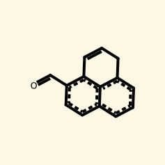 O=Cc1ccc2cccc3c2c1C=CC3